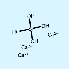 O[Si](O)(O)O.[Ca+2].[Ca+2].[Ca+2]